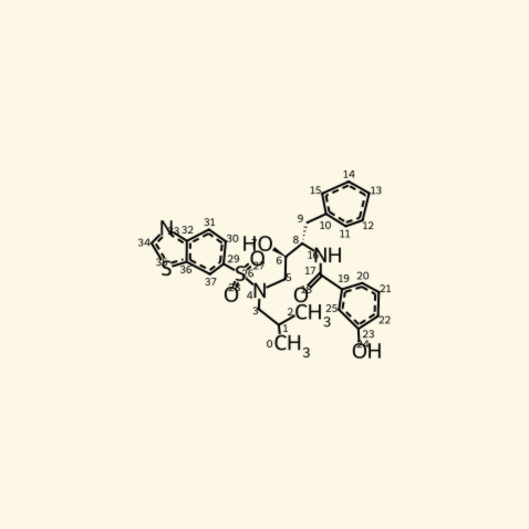 CC(C)CN(C[C@@H](O)[C@H](Cc1ccccc1)NC(=O)c1cccc(O)c1)S(=O)(=O)c1ccc2ncsc2c1